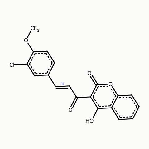 O=C(/C=C/c1ccc(OC(F)(F)F)c(Cl)c1)c1c(O)c2ccccc2oc1=O